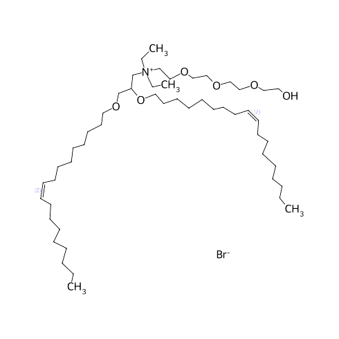 CCCCCCCC/C=C\CCCCCCCCOCC(C[N+](CC)(CC)CCOCCOCCOCCO)OCCCCCCCC/C=C\CCCCCCCC.[Br-]